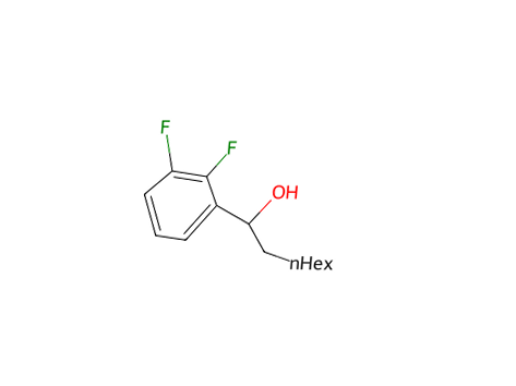 CCCCCCCC(O)c1cccc(F)c1F